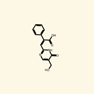 O=C(O)C(=Cc1ncc(CO)c(=O)[nH]1)c1ccccc1